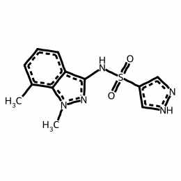 Cc1cccc2c(NS(=O)(=O)c3cn[nH]c3)nn(C)c12